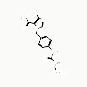 NC(=O)c1c(O)ncn1Cc1ccc(NC(=O)NCC(=O)O)cc1